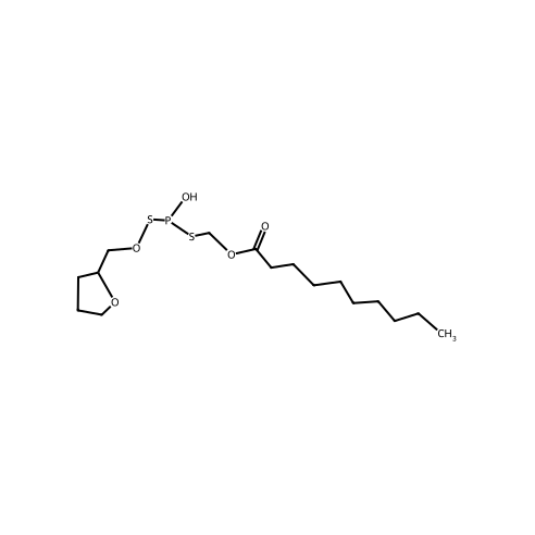 CCCCCCCCCC(=O)OCSP(O)SOCC1CCCO1